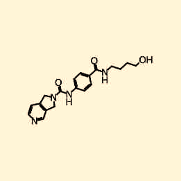 O=C(NCCCCO)c1ccc(NC(=O)N2Cc3ccncc3C2)cc1